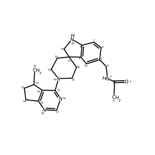 CC(=O)NCc1ccc2c(c1)C1(CCN(c3ncnc4c3C(C)CC4)CC1)CN2